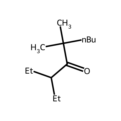 CCCCC(C)(C)C(=O)C(CC)CC